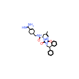 CC1=Cn2c(=O)n(CC(c3ccccc3)c3ccccc3)c(=O)n2[C@H](C(=O)NCC2CC=C(C(=N)N)CC2)C1